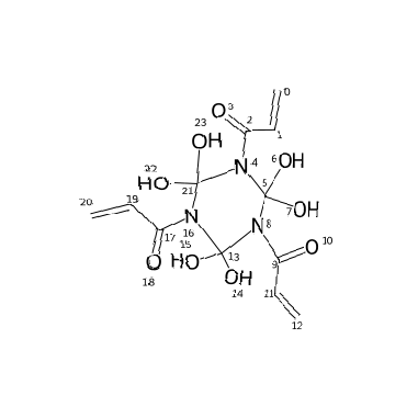 C=CC(=O)N1C(O)(O)N(C(=O)C=C)C(O)(O)N(C(=O)C=C)C1(O)O